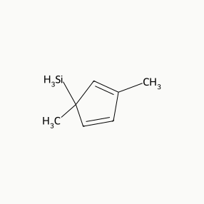 CC1=CC(C)([SiH3])C=C1